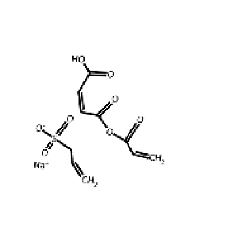 C=CC(=O)OC(=O)/C=C\C(=O)O.C=CCS(=O)(=O)[O-].[Na+]